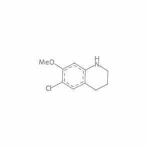 COc1cc2c(cc1Cl)CCCN2